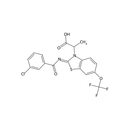 CC(C(=O)O)n1/c(=N/C(=O)c2cccc(Cl)c2)sc2cc(OC(F)(F)F)ccc21